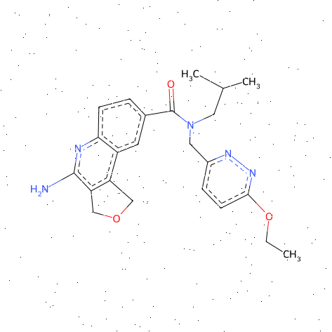 CCOc1ccc(CN(CC(C)C)C(=O)c2ccc3nc(N)c4c(c3c2)COC4)nn1